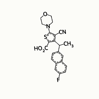 CC(c1ccc2cc(F)ccc2c1)c1c(C(=O)O)sc(N2CCOCC2)c1C#N